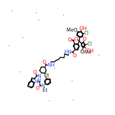 CCc1cccc(N(CC)C(=O)Cn2c(C(=O)N[C@H]3CC[C@H](C(=O)NCCCCCCCCNC(=O)c4ccc5c(c4)C(=O)OC54c5cc(OC)c(O)c(Cl)c5Oc5c4cc(OC)c(O)c5Cl)CC3)cc3ccccc32)c1